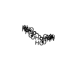 O=C(Nc1cc(CCCc2ccc(NC(=O)c3ccc4nnnn4n3)c(C(=O)O)c2)ccc1C(=O)O)c1ccc2nnnn2n1